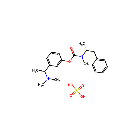 C[C@H](Cc1ccccc1)N(C)C(=O)Oc1cccc([C@H](C)N(C)C)c1.O=S(=O)(O)O